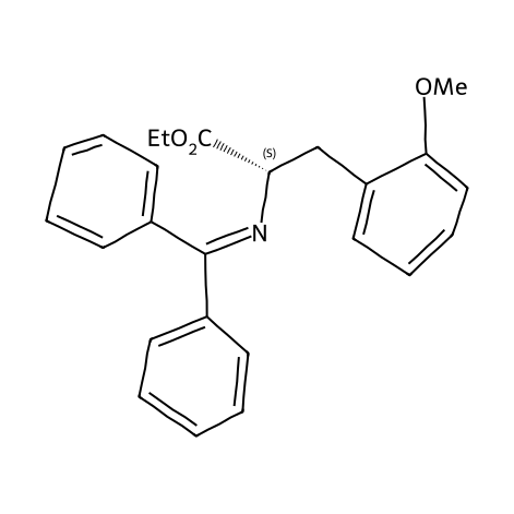 CCOC(=O)[C@H](Cc1ccccc1OC)N=C(c1ccccc1)c1ccccc1